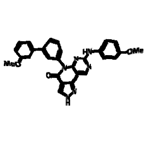 COc1ccc(Nc2ncc3c4n[nH]cc4c(=O)n(-c4cccc(-c5cccc(OC)c5)c4)c3n2)cc1